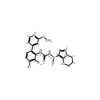 COc1cc(-c2ccc(Cl)c(F)c2NC(=O)N[S+]([O-])c2cnn3c2OCCC3)ccn1